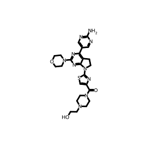 Nc1ncc(-c2nc(N3CCOCC3)nc3c2CCN3c2nc(C(=O)N3CCN(CCO)CC3)cs2)cn1